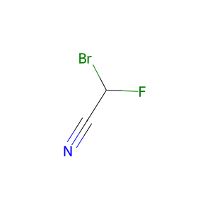 N#CC(F)Br